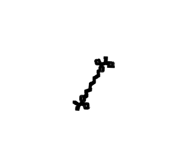 C=C(C)C(=O)OCCCCCCCCOC(=O)C(=C)CC